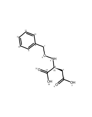 O=C(O)C[C@H](NOCc1ccccc1)C(=O)O